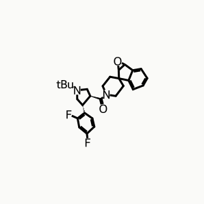 CC(C)(C)N1C[C@@H](C(=O)N2CCC3(CC2)c2ccccc2C2OC23)[C@H](c2ccc(F)cc2F)C1